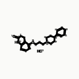 Cl.O=C1CCc2c(cccc2OCCCN2CCC(c3ccccc3)CC2)N1